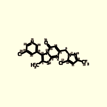 Cc1sc2nc(Cn3nc(C(F)(F)F)cc3Cl)cc(=O)n2c1-c1cncc(Cl)c1